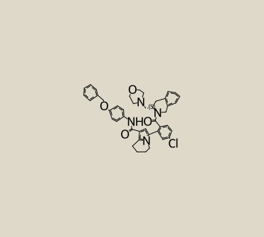 O=C(Nc1ccc(OCc2ccccc2)cc1)c1cc(-c2cc(Cl)ccc2C(=O)N2Cc3ccccc3C[C@H]2CN2CCOCC2)n2c1CCCC2